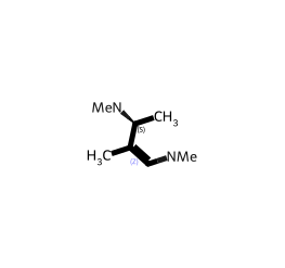 CN/C=C(/C)[C@H](C)NC